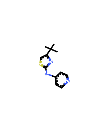 CC(C)(C)c1csc(Nc2ccncc2)n1